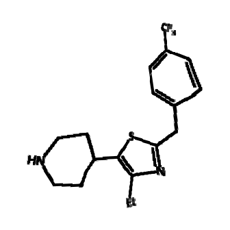 CCc1nc(Cc2ccc(C(F)(F)F)cc2)sc1C1CCNCC1